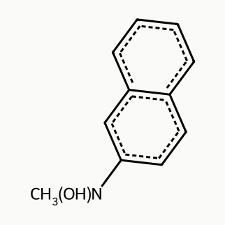 CN(O)c1ccc2ccccc2c1